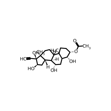 C#C[C@@]1(O)[C@H](O)C[C@H]2[C@@H]3[C@@H](O)CC4[C@@H](O)[C@@H](OC(C)=O)CC[C@]4(C)[C@H]3CC[C@@]21C